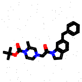 CC1CN(CC(=O)N2CCc3ccc(Cc4ccccc4)cc32)CCN1C(=O)OC(C)(C)C